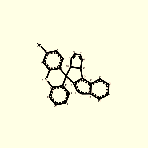 Brc1ccc2c(c1)Sc1ccccc1C21c2ccc3ccccc3c2C2C=CC=CC21